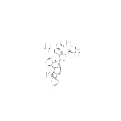 CC1CC(C)(C)c2ccc(-n3c4ccccc4c4c5[nH]c6ccccc6c5ccc43)cc2C1(C)C